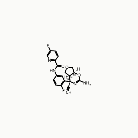 C#C[C@]1(c2cc(NC(=O)c3ccc(F)cn3)ccc2F)N=C(N)O[C@@H]2COC[C@@H]21